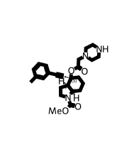 COC(=O)N1CC[C@@H]2[C@H]1CCC[C@]2(C#Cc1cccc(C)c1)OC(=O)CN1CCNCC1